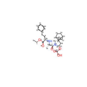 CCOC(=O)[C@@H](CCc1ccccc1)N[C@@H](C)C(=O)N1C[C@]2(CC3CCC2CC3)C[C@H]1OC(=O)O